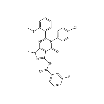 CSc1ccccc1-c1nc2c(c(NC(=O)c3cccc(F)c3)nn2C)c(=O)n1-c1ccc(Cl)cc1